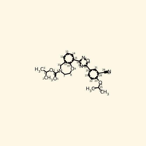 CC(C)OC(=O)N1CCOc2c(cccc2-c2noc(-c3ccc(OC(C)C)c(C#N)c3)n2)C1